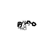 Cl.O=C(NC1C2CC3CC1CN(C3)C2)c1ccc(-c2ccccc2)s1